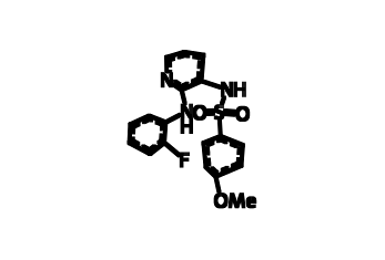 COc1ccc(S(=O)(=O)Nc2cccnc2Nc2ccccc2F)cc1